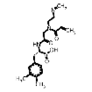 C=CC(=O)N(CCN=C)CC(=O)N[C@@H](Cc1ccc(C)c(C)c1)S(=O)O